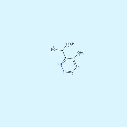 CC(=O)Oc1cccnc1C(C#N)C(=O)O